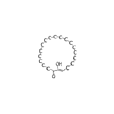 O=C1CCCCCCCCCCCCCCCCC/C=C/1O